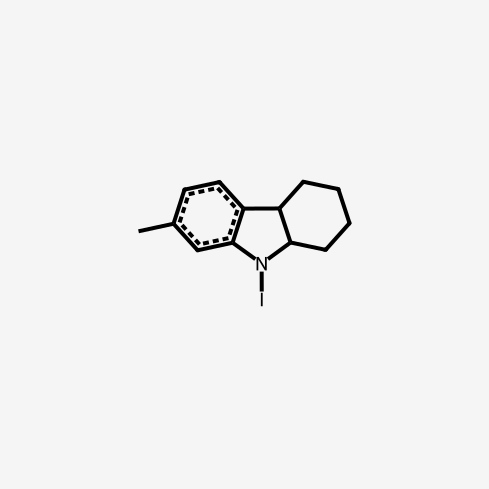 Cc1ccc2c(c1)N(I)C1CCCCC21